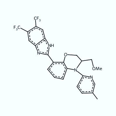 COCC1COc2c(-c3nc4cc(C(F)(F)F)c(C(F)(F)F)cc4[nH]3)cccc2N1c1ccc(C)cn1